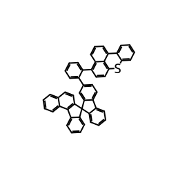 c1ccc2c(c1)Sc1ccc(-c3ccccc3-c3ccc4c(c3)C3(c5ccccc5-4)c4ccccc4-c4c3ccc3ccccc43)c3cccc-2c13